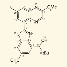 COc1cnc2c(-c3nc4c(C(O)C(C)(C)C)cc(C=O)cc4s3)cc(C)cc2n1